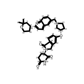 CC1(C)C[C@H](c2ccc3cc(CN4CC[C@H](Oc5ccc6c(c5)CN([C@@H]5CCC(=O)NC5=O)C6=O)C4)ccc3n2)CCO1